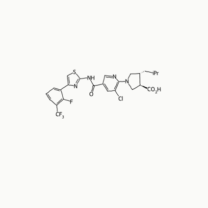 CC(C)C[C@H]1CN(c2ncc(C(=O)Nc3nc(-c4cccc(C(F)(F)F)c4F)cs3)cc2Cl)C[C@@H]1C(=O)O